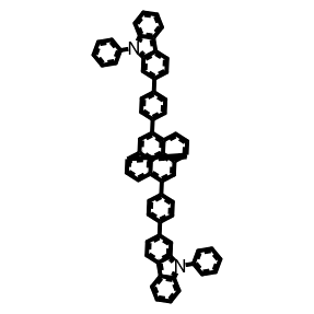 c1ccc(-n2c3ccccc3c3ccc(-c4ccc(-c5cc6c7ccc8c(-c9ccc(-c%10ccc%11c%12ccccc%12n(-c%12ccccc%12)c%11c%10)cc9)cc9c7ccc5c9c86)cc4)cc32)cc1